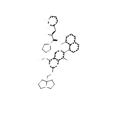 CN(c1nc(OC[C@@]23CCCN2C[C@H](F)C3)nc2c(F)c(-c3cccc4cccc(Cl)c34)ncc12)[C@@H]1CCN(C(=O)/C(F)=C/c2cccnn2)C1